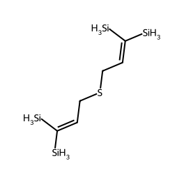 [SiH3]C([SiH3])=CCSCC=C([SiH3])[SiH3]